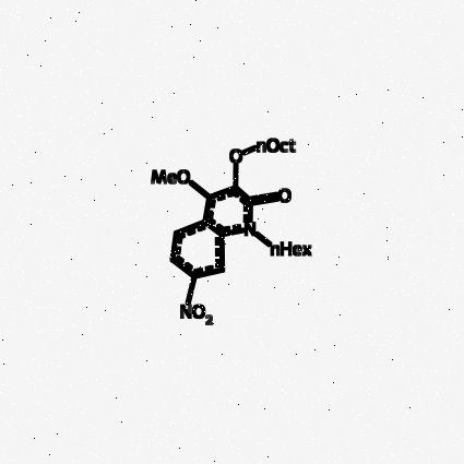 CCCCCCCCOc1c(OC)c2ccc([N+](=O)[O-])cc2n(CCCCCC)c1=O